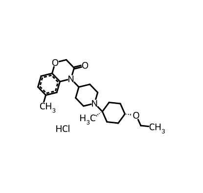 CCO[C@H]1CC[C@](C)(N2CCC(N3C(=O)COc4ccc(C)cc43)CC2)CC1.Cl